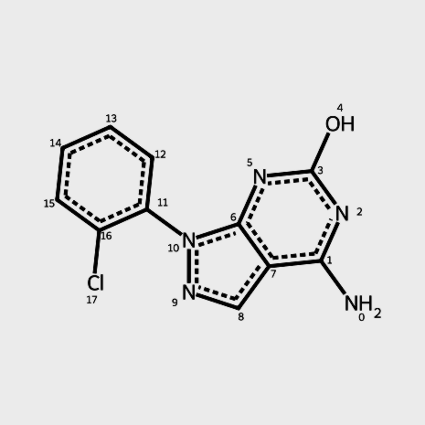 Nc1nc(O)nc2c1cnn2-c1ccccc1Cl